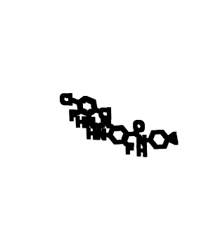 O=C(NC1CCC2(CC1)CC2)C1=C(F)CC2NC(Nc3c(Cl)ccc(Cl)c3F)=NC2=C1